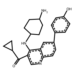 NC1CCC(Nc2c(C(=O)C3CC3)cnc3ccc(-c4ccc(O)cc4)cc23)CC1